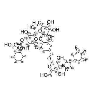 CCC1CC(CO[C@H]2OC(CO)[C@@H](O)C(n3cc(-c4cc(F)c(F)c(F)c4)nn3)C2O)C[C@@H](O[C@@H]2OC(CO)[C@H](O)C(O[C@@H](CC3CCCCC3)C(=O)O)C2NC(C)=O)C1O[C@@H]1OC(C)[C@@H](O)C(O)C1O